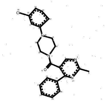 Cc1ncc(C(=O)N2CCN(c3cccc(Cl)c3)CC2)c(-c2ccccc2)n1